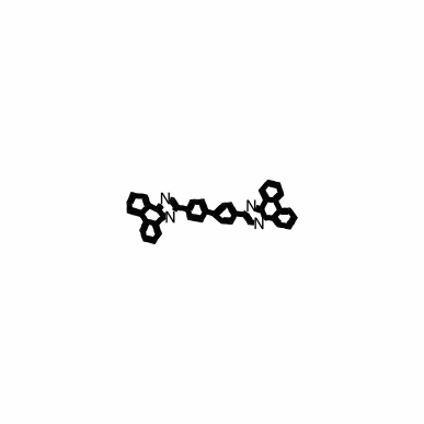 c1ccc2c(c1)c1ccccc1c1nc(-c3ccc(-c4ccc(-c5cnc6c7ccccc7c7ccccc7c6n5)cc4)cc3)cnc21